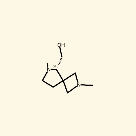 CN1CC2(CCN[C@@H]2CO)C1